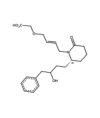 O=C(O)COCC=CCN1C(=O)CCC[C@@H]1CCC(O)Cc1ccccc1